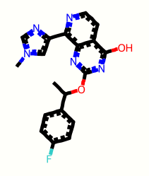 CC(Oc1nc(O)c2ccnc(-c3cn(C)cn3)c2n1)c1ccc(F)cc1